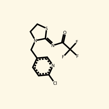 O=C(N=C1SCCN1Cc1ccc(Cl)nc1)C(F)(F)F